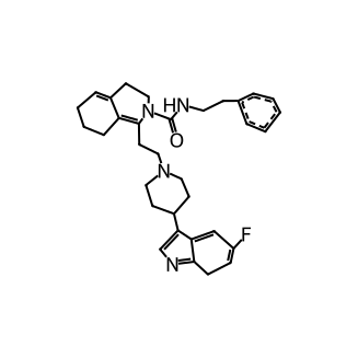 O=C(NCCc1ccccc1)N1CCC2=CCCCC2=C1CCN1CCC(C2=CN=C3CC=C(F)C=C23)CC1